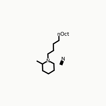 C#N.CCCCCCCCCCCCN1CCCCC1C